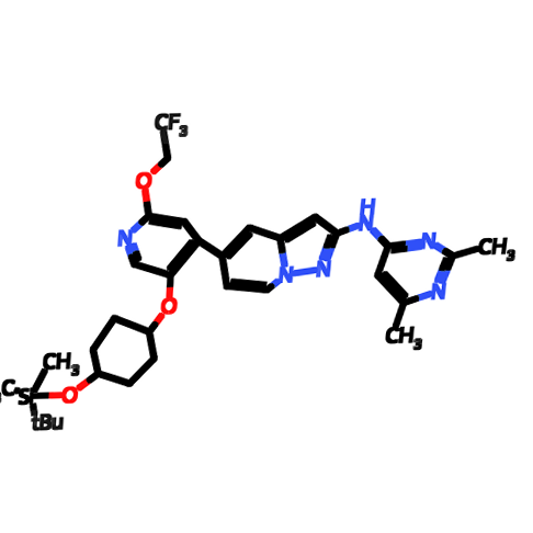 Cc1cc(Nc2cc3cc(-c4cc(OCC(F)(F)F)ncc4OC4CCC(O[Si](C)(C)C(C)(C)C)CC4)ccn3n2)nc(C)n1